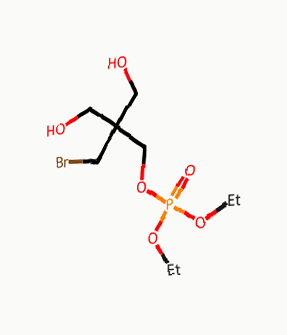 CCOP(=O)(OCC)OCC(CO)(CO)CBr